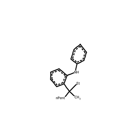 CCCCCC(C)(CC)c1ccccc1Nc1ccccc1